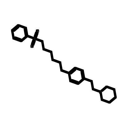 O=S(=O)(CCCCCCc1ccc(CCN2CCCCC2)cc1)c1ccccc1